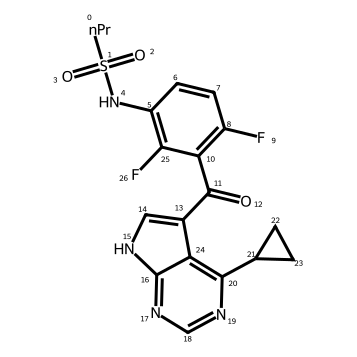 CCCS(=O)(=O)Nc1ccc(F)c(C(=O)c2c[nH]c3ncnc(C4CC4)c23)c1F